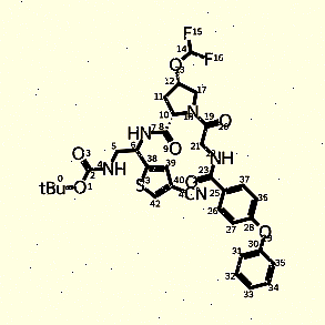 CC(C)(C)OC(=O)NCC(NC(=O)[C@@H]1C[C@@H](OC(F)F)CN1C(=O)CNC(=O)c1ccc(Oc2ccccc2)cc1)c1cc(C#N)cs1